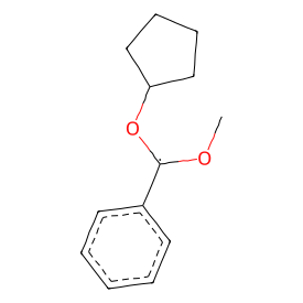 CO[C](OC1CCCC1)c1ccccc1